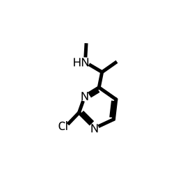 CNC(C)c1ccnc(Cl)n1